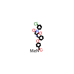 CNC(=O)c1ccc(Oc2ccccc2/C=C2/CC(=O)N(c3cccc(Cl)c3)C2=O)cc1